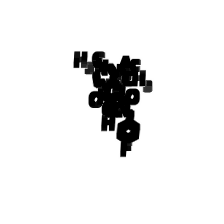 CC(=O)N(C)C1CN(C)CCn2c1nc(C(=O)NCc1ccc(F)cc1)c(O)c2=O